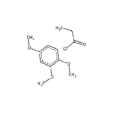 CCC(=O)Cl.COc1ccc(OC)c(OC)c1